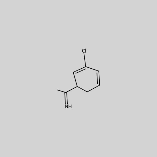 CC(=N)C1C=C(Cl)C=CC1